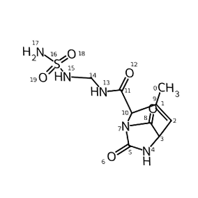 CC1=CC2NC(=O)N(C2=O)C1C(=O)NCNS(N)(=O)=O